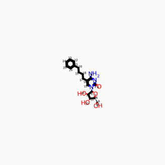 Nc1nc(=O)n([C@@H]2O[C@H](CO)[C@@H](O)[C@H]2O)cc1CCCCc1ccccc1